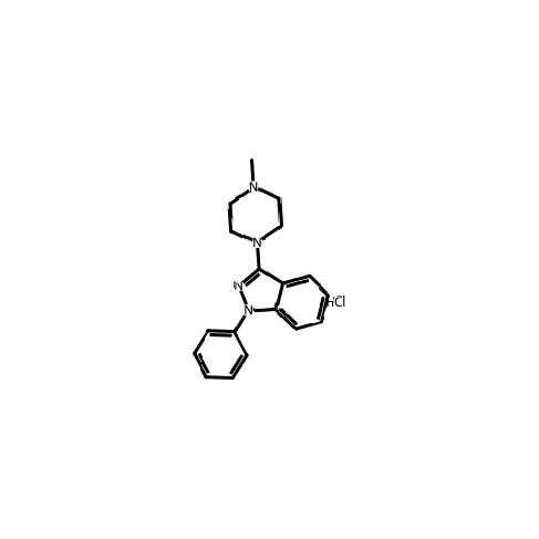 CN1CCN(c2nn(-c3ccccc3)c3ccccc23)CC1.Cl